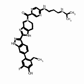 CCc1cc(O)c(F)cc1-c1ccc2c(-c3nc4c([nH]3)CCN(C(=O)c3cnc(NCCCNC(C)C)cn3)C4)n[nH]c2c1